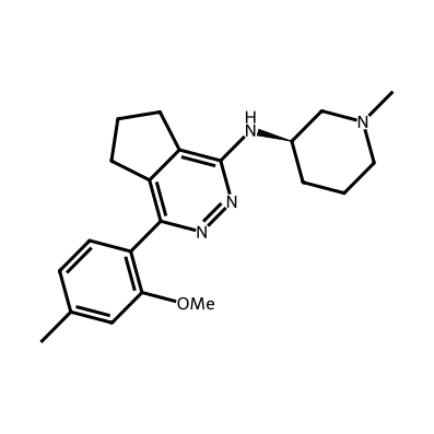 COc1cc(C)ccc1-c1nnc(N[C@@H]2CCCN(C)C2)c2c1CCC2